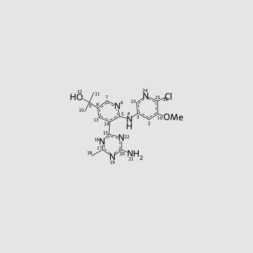 COc1cc(Nc2ncc(C(C)(C)O)cc2-c2nc(C)nc(N)n2)cnc1Cl